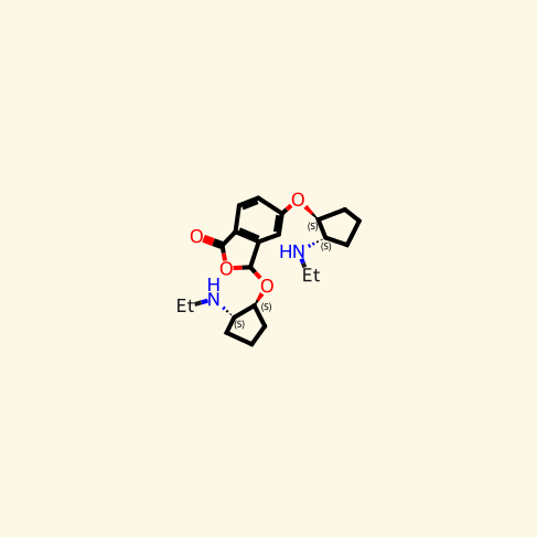 CCN[C@H]1CCC[C@@H]1Oc1ccc2c(c1)C(O[C@H]1CCC[C@@H]1NCC)OC2=O